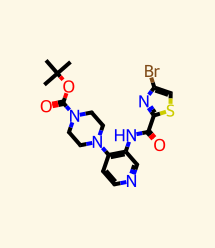 CC(C)(C)OC(=O)N1CCN(c2ccncc2NC(=O)c2nc(Br)cs2)CC1